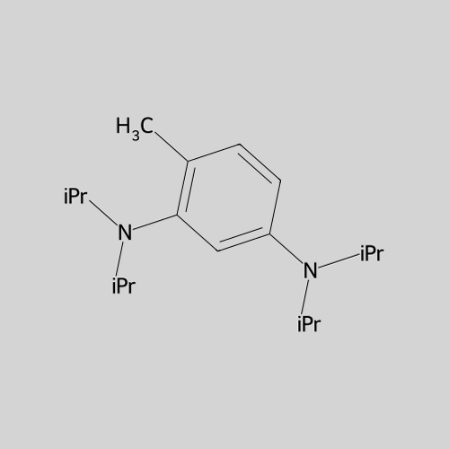 Cc1ccc(N(C(C)C)C(C)C)cc1N(C(C)C)C(C)C